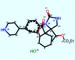 CCOC(=O)OC(C)C1(C23CCCCC2OC3=O)CNC(=O)N1c1ccc(C2CCNCC2)cc1.Cl